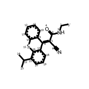 [CH2]CNC(=O)/C(C#N)=C1\c2ccccc2Sc2c1cccc2C(C)C